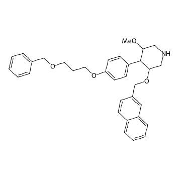 COC1CNCC(OCc2ccc3ccccc3c2)C1c1ccc(OCCCOCc2ccccc2)cc1